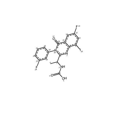 CC(NC(=O)O)c1nc2c(I)cc(F)cc2c(=O)n1-c1cccc(F)c1